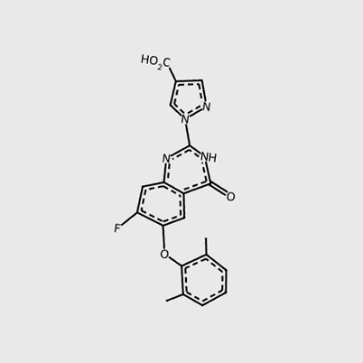 Cc1cccc(C)c1Oc1cc2c(=O)[nH]c(-n3cc(C(=O)O)cn3)nc2cc1F